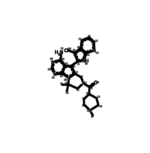 CN1CCC(C(=O)N2Cc3c(-c4[nH]c5ncccc5c4Cl)c4c(N)ncnc4n3C(C)(C)C2)CC1